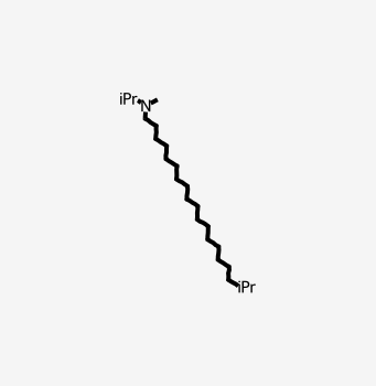 CC(C)CCCCCCCCCCCCCCCCCN(C)C(C)C